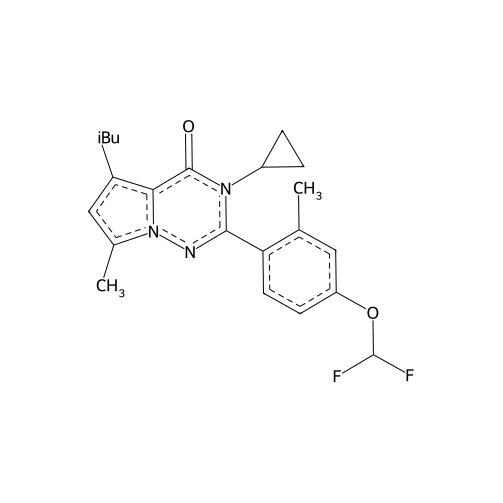 CCC(C)c1cc(C)n2nc(-c3ccc(OC(F)F)cc3C)n(C3CC3)c(=O)c12